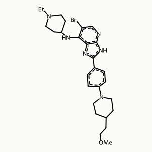 CCN1CCC(Nc2c(Br)cnc3[nH]c(-c4ccc(N5CCC(CCOC)CC5)cc4)nc23)CC1